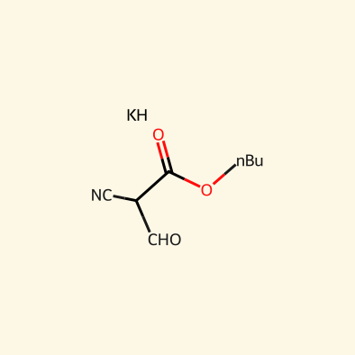 CCCCOC(=O)C(C#N)C=O.[KH]